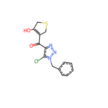 O=C(C1=C(O)CSC1)c1nnn(Cc2ccccc2)c1Cl